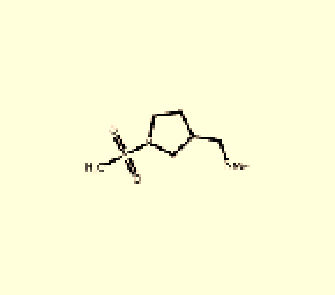 CNCC1CCN(S(C)(=O)=O)C1